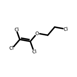 ClCCOC(Cl)=C(Cl)Cl